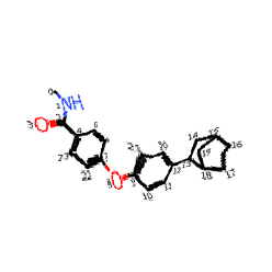 CNC(=O)c1ccc(Oc2ccc(C3CC4CCC3C4)cc2)cc1